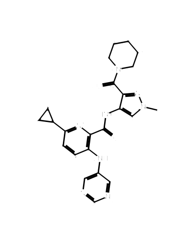 Cn1cc(NC(=O)c2nc(C3CC3)ccc2Nc2cncnc2)c(C(=O)N2CCCCC2)n1